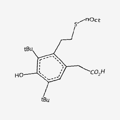 CCCCCCCCSCCc1c(CC(=O)O)cc(C(C)(C)C)c(O)c1C(C)(C)C